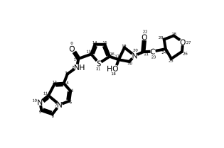 O=C(NCc1ccn2ccnc2c1)c1ccc(C2(O)CN(C(=O)CC3CCOCC3)C2)s1